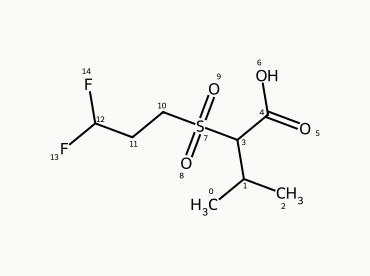 CC(C)C(C(=O)O)S(=O)(=O)CCC(F)F